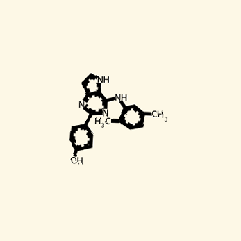 Cc1ccc(C)c(Nc2nc(-c3ccc(O)cc3)nc3cc[nH]c23)c1